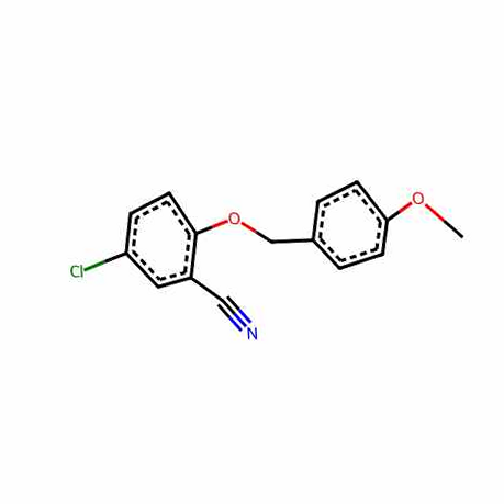 COc1ccc(COc2ccc(Cl)cc2C#N)cc1